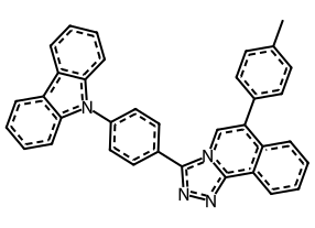 Cc1ccc(-c2cn3c(-c4ccc(-n5c6ccccc6c6ccccc65)cc4)nnc3c3ccccc23)cc1